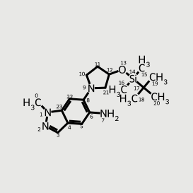 Cn1ncc2cc(N)c(N3CCC(O[Si](C)(C)C(C)(C)C)C3)cc21